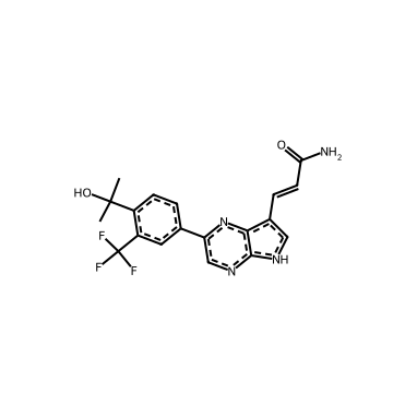 CC(C)(O)c1ccc(-c2cnc3[nH]cc(C=CC(N)=O)c3n2)cc1C(F)(F)F